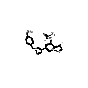 COc1ccc(Cn2cc(-c3cc(OS(=O)(=O)C(F)(F)F)c4c(C#N)cnn4c3)cn2)cc1